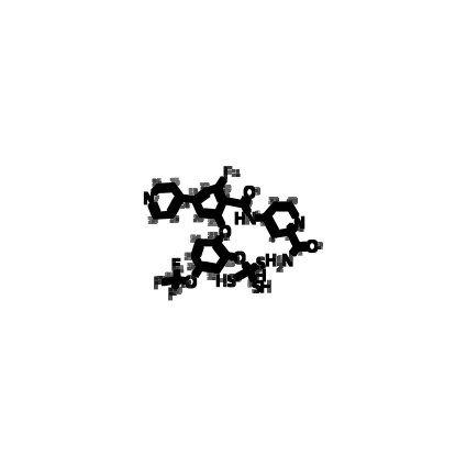 NC(=O)c1cc(NC(=O)c2c(F)cc(-c3ccncc3)cc2Oc2ccc(OC(F)(F)F)cc2OC(S)(S)S)ccn1